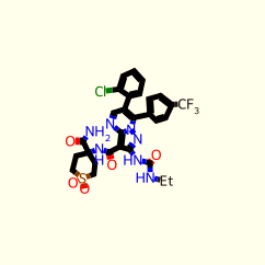 CCNC(=O)Nc1nn2c(-c3ccc(C(F)(F)F)cc3)c(-c3ccccc3Cl)cnc2c1C(=O)NC1(C(N)=O)CCS(=O)(=O)CC1